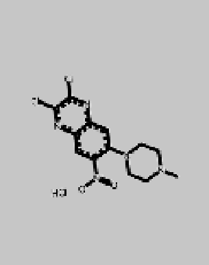 CN1CCN(c2cc3nc(Cl)c(Cl)nc3cc2[N+](=O)[O-])CC1.Cl